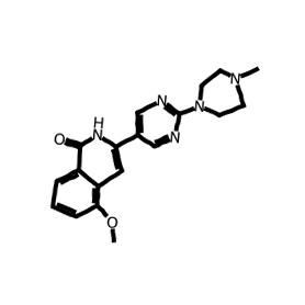 COc1cccc2c(=O)[nH]c(-c3cnc(N4CCN(C)CC4)nc3)cc12